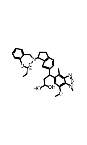 CC[C@@H]1CN(C2CCc3ccc(C(CC(O)O)c4cc(OC)c5c(nnn5C)c4C)cc32)Cc2ccccc2O1